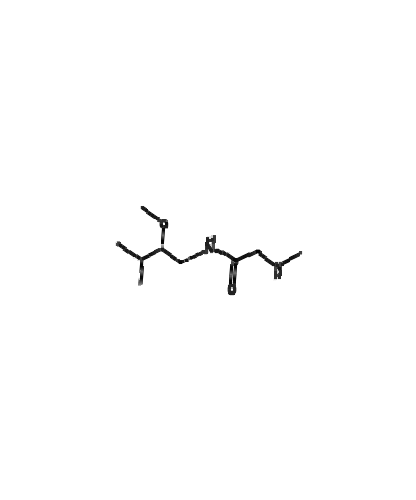 CNCC(=O)NCC(OC)C(C)C